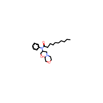 CCCCCCCCCC(=O)N(c1ccccc1)C(CO)CN1CCOCC1